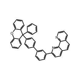 c1ccc(C2(c3ccc(-c4cccc(-c5ccc6ccc7cccnc7c6n5)c4)cc3)c3ccccc3Oc3ccccc32)cc1